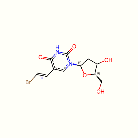 O=c1[nH]c(=O)n([C@H]2CC(O)[C@@H](CO)O2)cc1/C=C/Br